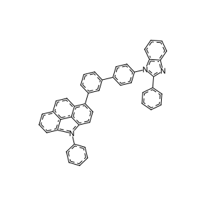 c1ccc(-c2nc3ccccc3n2-c2ccc(-c3cccc(-c4ccc5c6c4ccc4cccc(c46)n5-c4ccccc4)c3)cc2)cc1